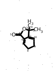 CC1(C)OC(=O)C2=CCCC=C21